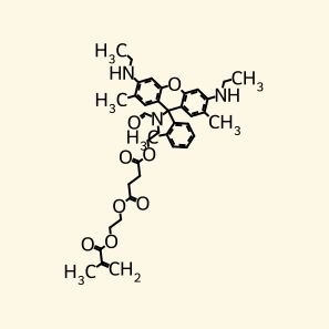 C=C(C)C(=O)OCCOC(=O)CCC(=O)OCCN(C=O)C1(c2ccccc2C)c2cc(C)c(NCC)cc2Oc2cc(NCC)c(C)cc21